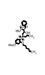 C=CCCCCOc1cc(OC)ccc1S(=O)(=O)N(CC=C)C[C@@H](O)[C@H](Cc1ccccc1)N(C(=O)O)C(C)(C)C